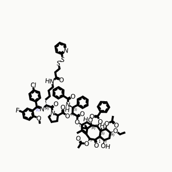 CCO[C@@H]1C[C@H](O)[C@@]2(C)C(=O)[C@H](OC(C)=O)C3=C(C)[C@@H](OC(=O)[C@H](OC(=O)C4CCCN4C(=O)[C@@H](CCCCNC(=O)CCSSc4ccccn4)/N=C(\c4ccc(Cl)cc4)c4cc(F)ccc4OC)[C@@H](NC(=O)c4ccccc4)c4ccccc4)C[C@](O)([C@@H](OC(=O)c4ccccc4)[C@@H]2[C@H]1OC(C)=O)C3(C)C